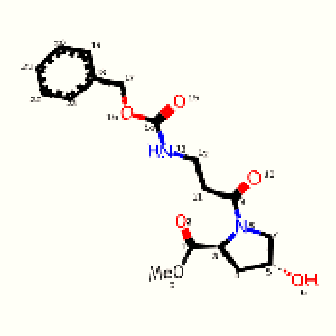 COC(=O)[C@@H]1C[C@@H](O)CN1C(=O)CCNC(=O)OCc1ccccc1